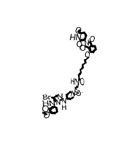 O=C(CCCCCCCCOc1cccc2c1C(=O)N(C1CCC(=O)NC1=O)C2=O)NCC[S+]([O-])N1CCC(Nc2ncc(Br)c(Nc3cccc4c3OCO4)n2)CC1